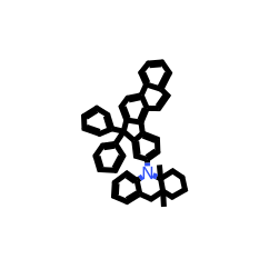 CC12CCCCC1(C)N(c1ccc3c(c1)C(c1ccccc1)(c1ccccc1)c1ccc4c(ccc5ccccc54)c1-3)c1ccccc1C2